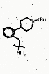 CC(C)(N)Cc1ccccc1C1CCN(C(C)(C)C)CC1